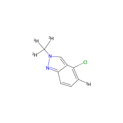 [2H]c1ccc2nn(C([2H])([2H])[2H])cc2c1Cl